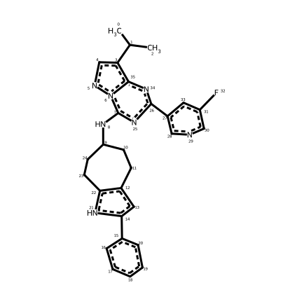 CC(C)c1cnn2c(NC3CCc4cc(-c5ccccc5)[nH]c4CC3)nc(-c3cncc(F)c3)nc12